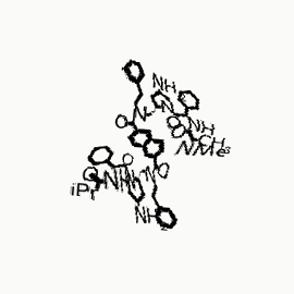 CN[C@@H](C)C(=O)N[C@H](C(=O)N1C[C@@H](N)C[C@H]1CN(CCc1ccccc1)C(=O)c1ccc2cc(C(=O)N(CCc3ccccc3)C[C@@H]3C[C@H](N)CN3C(=O)[C@@H](NC(=O)C(C)C)C3CCCCC3)ccc2c1)C1CCCCC1